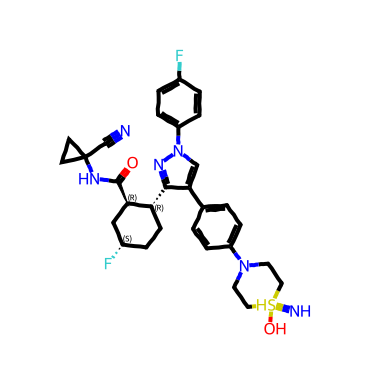 N#CC1(NC(=O)[C@@H]2C[C@@H](F)CC[C@H]2c2nn(-c3ccc(F)cc3)cc2-c2ccc(N3CC[SH](=N)(O)CC3)cc2)CC1